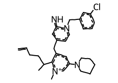 C=CCCC(C)c1c(Cc2ccn(Cc3cccc(Cl)c3)c(=N)c2)cc(N2CCCCC2)c[n+]1C